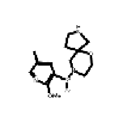 COc1ncc(C)cc1[S+]([O-])N1CCOC2(CCNC2)C1